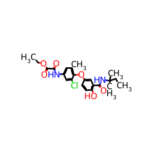 CCOC(=O)C(=O)Nc1cc(C)c(Oc2ccc(O)c(C(=O)NC(C)(C)CC)c2)c(Cl)c1